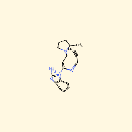 C#C/C=N\C(=C/CN1CCCC1C)n1c(N)nc2ccccc21